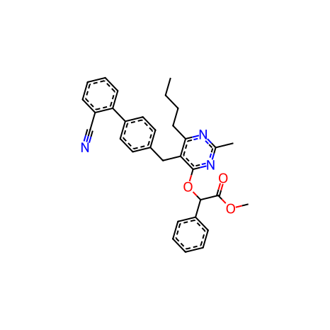 CCCCc1nc(C)nc(OC(C(=O)OC)c2ccccc2)c1Cc1ccc(-c2ccccc2C#N)cc1